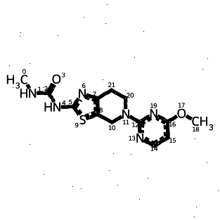 CNC(=O)Nc1nc2c(s1)CN(c1nccc(OC)n1)CC2